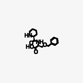 O=C(O)[C@H](COCc1ccccc1)NC(=O)[C@@H]1CCCCN1